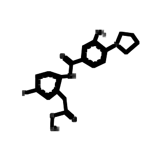 CC(C)(C)OC(=O)Cc1cc(F)ccc1NC(=O)c1ccc(N2CCCC2)c(N)c1